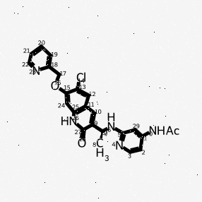 CC(=O)Nc1ccnc(N[C@@H](C)c2cc3cc(Cl)c(OCc4ccccn4)cc3[nH]c2=O)c1